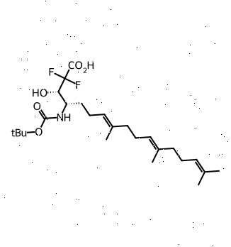 CC(C)=CCC/C(C)=C/CC/C(C)=C/CC[C@H](NC(=O)OC(C)(C)C)[C@H](O)C(F)(F)C(=O)O